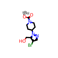 CC(C)(C)OC(=O)N1CCC(n2ncc(Br)c2CO)CC1